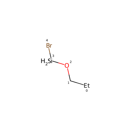 CCCO[SiH2]Br